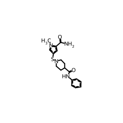 Cn1cc(SN2CCC(C(=O)Nc3ccccc3)CC2)cc1C(N)=O